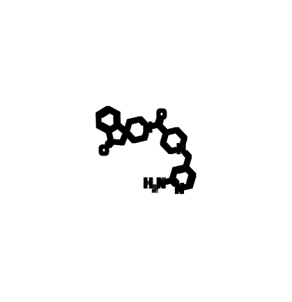 Nc1cc(CN2CCC(C(=O)N3CCC4(CC3)CC(=O)c3ccccc34)CC2)ccn1